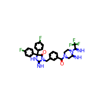 N=C1CN(C(=O)c2cccc(CN3C(=N)NC(c4ccc(F)cc4)(c4ccc(F)cc4)C3=O)c2)CCN1C(=N)C(F)(F)F